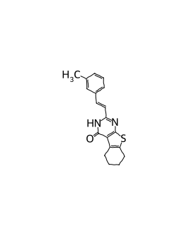 Cc1cccc(/C=C/c2nc3sc4c(c3c(=O)[nH]2)CCCC4)c1